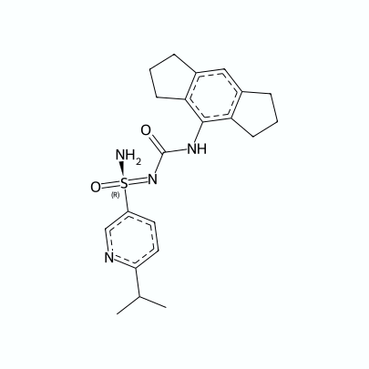 CC(C)c1ccc([S@](N)(=O)=NC(=O)Nc2c3c(cc4c2CCC4)CCC3)cn1